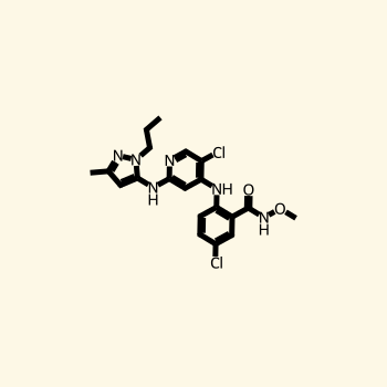 CCCn1nc(C)cc1Nc1cc(Nc2ccc(Cl)cc2C(=O)NOC)c(Cl)cn1